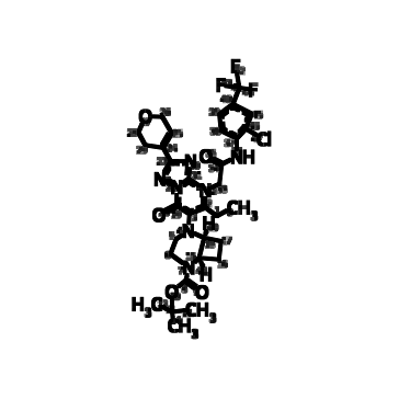 CCc1c(N2CCN(C(=O)OC(C)(C)C)[C@H]3CC[C@H]32)c(=O)n2nc(C3=CCOCC3)nc2n1CC(=O)Nc1ccc(C(F)(F)F)cc1Cl